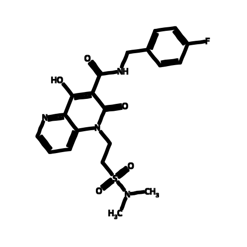 CN(C)S(=O)(=O)CCn1c(=O)c(C(=O)NCc2ccc(F)cc2)c(O)c2ncccc21